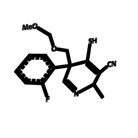 COCOCC1(c2ccccc2F)C=NC(C)C(C#N)=C1S